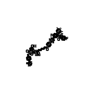 Cc1ncsc1-c1ccc(CNC(=O)[C@@H]2C[C@@H](O)CN2C(=O)[C@@H](NC(=O)CCCCCC(=O)N2CCN(c3ncc(-c4cc(NC(=O)c5ccc(F)cc5C(F)(F)F)c(N5C[C@@H](C)N(C)[C@@H](C)C5)cc4F)cn3)CC2)C(C)(C)C)cc1